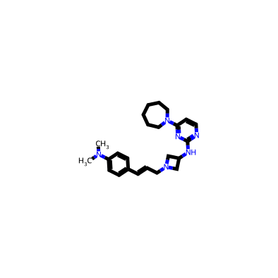 CN(C)c1ccc(C=CCN2CC(Nc3nccc(N4CCCCCC4)n3)C2)cc1